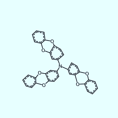 c1ccc2c(c1)Oc1ccc(N(c3ccc4c(c3)Oc3ccccc3O4)c3ccc4c(c3)Oc3ccccc3O4)cc1O2